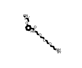 CC(C)NCCCOCCOCCOCCNC(=O)c1cccc(OC[C@@H](C)SC#N)c1